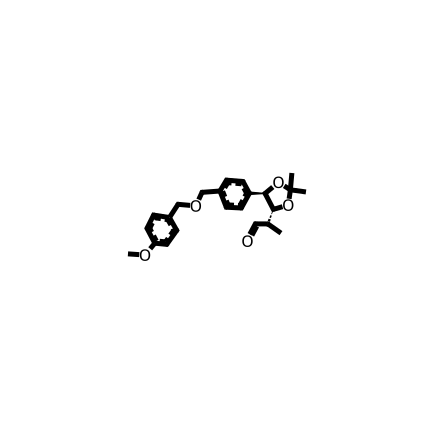 COc1ccc(COCc2ccc([C@H]3OC(C)(C)O[C@@H]3C(C)C=O)cc2)cc1